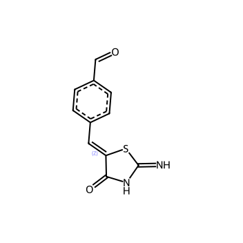 N=C1NC(=O)/C(=C/c2ccc(C=O)cc2)S1